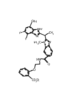 CCOC(=O)c1ccccc1OCCNC(=O)c1ccc2nc(C(C)c3nc4c(F)c(F)cc(O)c4[nH]3)n(C)c2c1